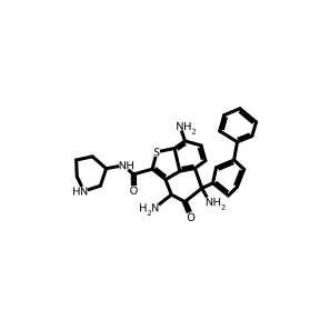 Nc1ccc2c3c(c(C(=O)NC4CCCNC4)sc13)C(N)C(=O)C2(N)c1cccc(-c2ccccc2)c1